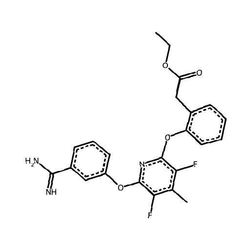 CCOC(=O)Cc1ccccc1Oc1nc(Oc2cccc(C(=N)N)c2)c(F)c(C)c1F